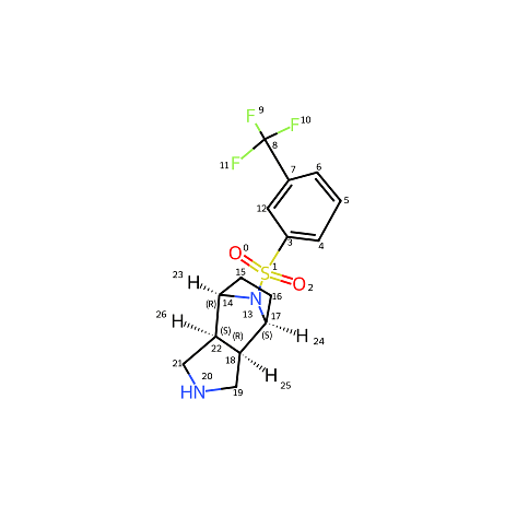 O=S(=O)(c1cccc(C(F)(F)F)c1)N1[C@@H]2CC[C@H]1[C@H]1CNC[C@H]12